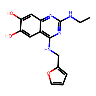 CCNc1nc(NCc2ccco2)c2cc(O)c(O)cc2n1